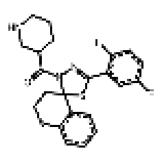 O=C(C1CCCNC1)N1N=C(c2cc(F)ccc2F)SC12CCSc1ccccc12